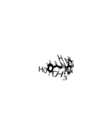 Cc1cc(O)ccc1CCNc1ncnc2nccnc12